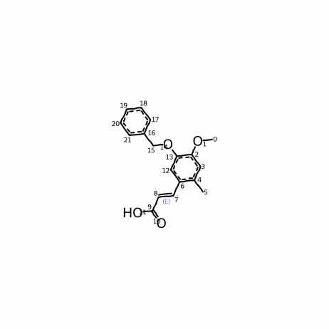 COc1cc(C)c(/C=C/C(=O)O)cc1OCc1ccccc1